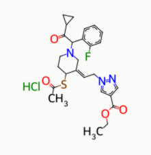 CCOC(=O)c1cnn(C/C=C2\CN(C(C(=O)C3CC3)c3ccccc3F)CCC2SC(C)=O)c1.Cl